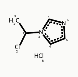 CC(Cl)n1ccnc1.Cl